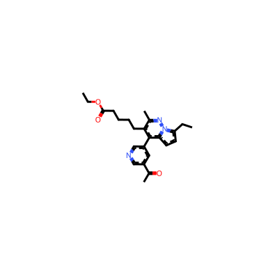 CCOC(=O)CCCCc1c(C)nn2c(CC)ccc2c1-c1cncc(C(C)=O)c1